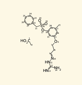 CC(=O)O.Cc1cc(OCCC=NNC(=N)N)cc(OS(=O)(=O)Cc2ccccc2)c1